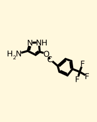 Nc1cc(OCc2ccc(C(F)(F)F)cc2)[nH]n1